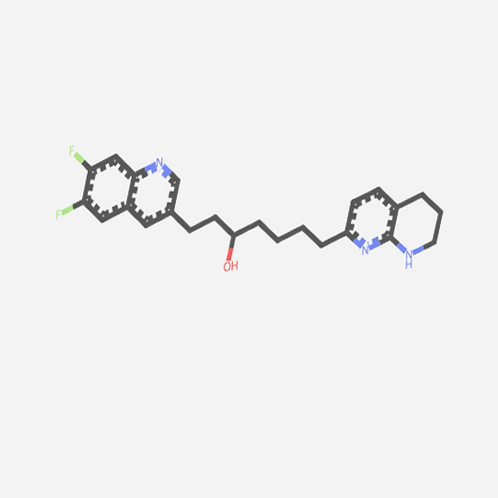 OC(CCCCc1ccc2c(n1)NCCC2)CCc1cnc2cc(F)c(F)cc2c1